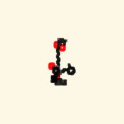 Cc1ccccc1C=C[C@@H]1[C@H](O[Si](C)(C)C(C)(C)C)CC(=O)[C@@H]1CC=CCCCC(=O)OC(C)C